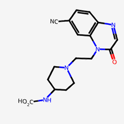 N#Cc1ccc2ncc(=O)n(CCN3CCC(NC(=O)O)CC3)c2c1